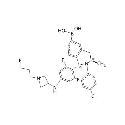 C[C@@H]1Cc2cc(B(O)O)ccc2[C@@H](c2c(F)cc(NC3CN(CCCF)C3)cc2F)N1c1ccc(Cl)cc1